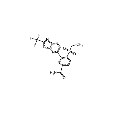 CCS(=O)(=O)c1ccc(C(N)=O)nc1-c1ccn2nc(C(F)(F)F)cc2n1